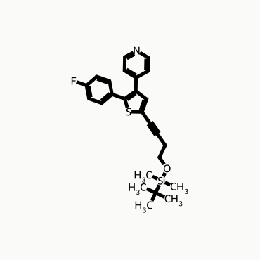 CC(C)(C)[Si](C)(C)OCCC#Cc1cc(-c2ccncc2)c(-c2ccc(F)cc2)s1